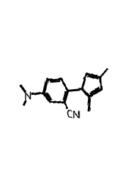 CC1=CC(c2ccc(N(C)C)cc2C#N)C(C)=C1